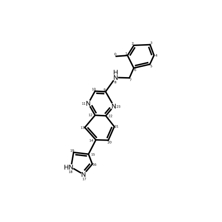 Cc1ccccc1CNc1cnc2cc(-c3cn[nH]c3)ccc2n1